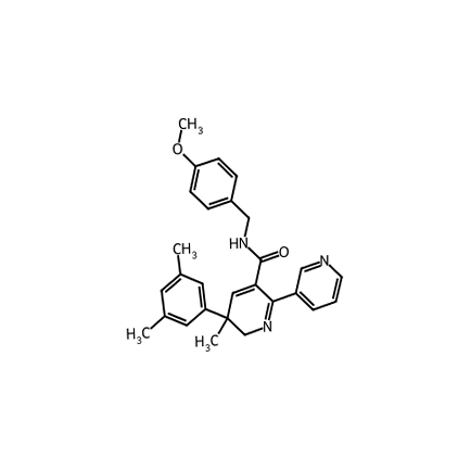 COc1ccc(CNC(=O)C2=CC(C)(c3cc(C)cc(C)c3)CN=C2c2cccnc2)cc1